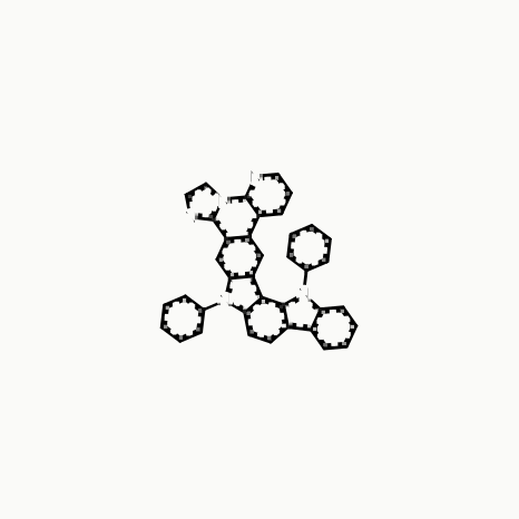 c1ccc(-n2c3cc4c(cc3c3c2ccc2c5ccccc5n(-c5ccccc5)c23)c2cccnc2n2ccnc42)cc1